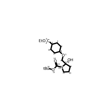 CCOC(=O)C1CCC(OC[C@@]2(O)CCCN2C(=O)OC(C)(C)C)CC1